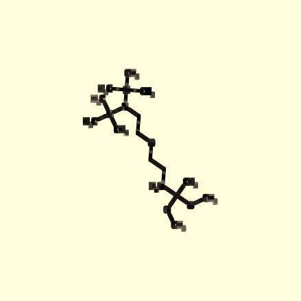 COC(C)(OC)[SiH2]CCOCCN([Si](C)(C)C)[Si](C)(C)C